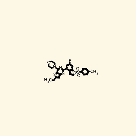 CCc1cc2nc(-c3cc(F)cc4c3ccn4S(=O)(=O)c3ccc(C)cc3)nc(N3CCOCC3)c2s1